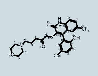 O=C(CCCN1CCOCC1)CSc1c(-c2cc(Cl)ccc2O)c2cc(C(F)(F)F)ccc2[nH]c1=O